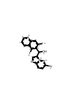 CC(=O)c1ccc2ncc(C(O)c3c(F)cc4ncccc4c3F)n2n1